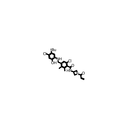 C=CC(=O)N1CC(NC(=O)c2c(Cl)cc(CNc3cc(C(C)(C)C)c(Cl)cc3O)c(C)c2C)C1